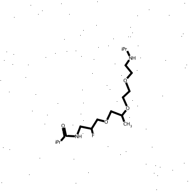 CC(C)NCCOCCOC(C)COCC(F)CNC(=O)C(C)C